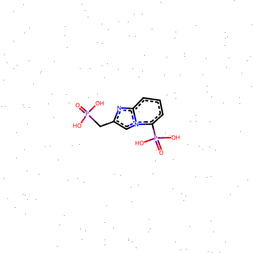 O=P(O)(O)Cc1cn2c(P(=O)(O)O)cccc2n1